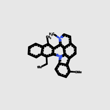 COc1cccc2c1c1ccc3cc[n+](C)c4c5c(C)c6ccccc6c(CC(C)(C)C)c5n2c1c34